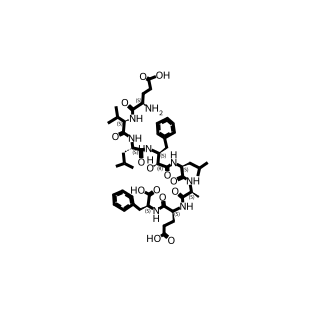 CC(C)C[C@H](NC(=O)[C@@H](NC(=O)[C@@H](N)CCC(=O)O)C(C)C)C(=O)N[C@@H](Cc1ccccc1)[C@@H](O)C(=O)N[C@@H](CC(C)C)C(=O)N[C@@H](C)C(=O)N[C@@H](CCC(=O)O)C(=O)N[C@@H](Cc1ccccc1)C(=O)O